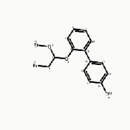 CCOC(CBr)Oc1ccccc1-c1ccc(O)cc1